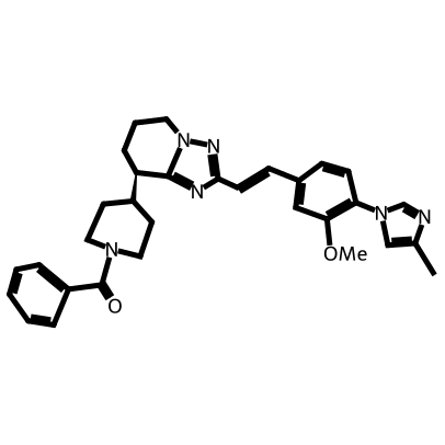 COc1cc(/C=C/c2nc3n(n2)CCC[C@@H]3C2CCN(C(=O)c3ccccc3)CC2)ccc1-n1cnc(C)c1